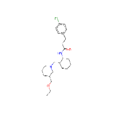 CCOCC1CCCN(CC2CCCCC2NC(=O)CCc2ccc(Cl)cc2)C1